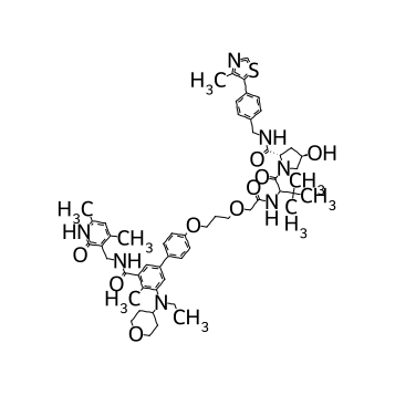 CCN(c1cc(-c2ccc(OCCCOCC(=O)NC(C(=O)N3C[C@H](O)C[C@H]3C(=O)NCc3ccc(-c4scnc4C)cc3)C(C)(C)C)cc2)cc(C(=O)NCc2c(C)cc(C)[nH]c2=O)c1C)C1CCOCC1